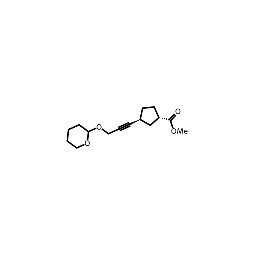 COC(=O)[C@H]1CC[C@H](C#CCOC2CCCCO2)C1